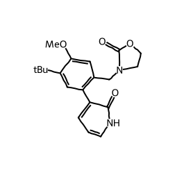 COc1cc(CN2CCOC2=O)c(-c2ccc[nH]c2=O)cc1C(C)(C)C